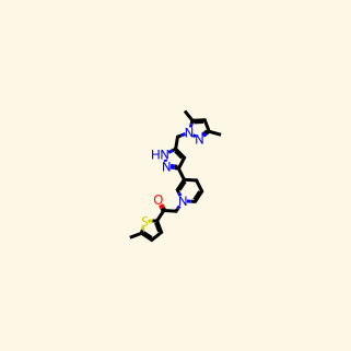 Cc1cc(C)n(Cc2cc(C3=CN(CC(=O)c4ccc(C)s4)C=CC3)n[nH]2)n1